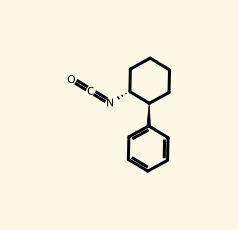 O=C=N[C@@H]1CCCC[C@H]1c1ccccc1